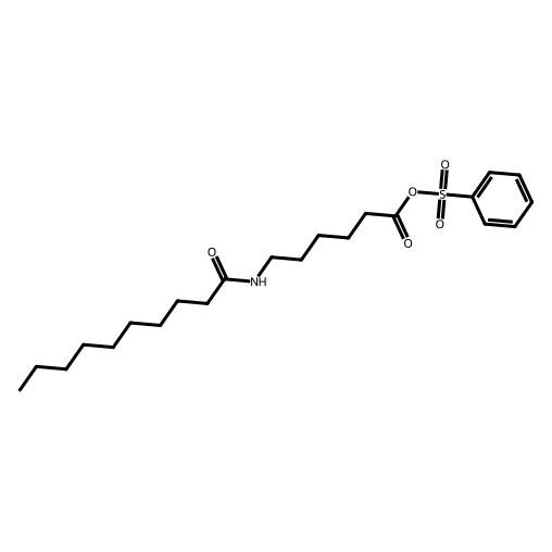 CCCCCCCCCC(=O)NCCCCCC(=O)OS(=O)(=O)c1ccccc1